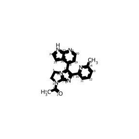 CC(=O)N1CCn2c1nc(-c1cccc(C)n1)c2-c1ccnc2[nH]ccc12